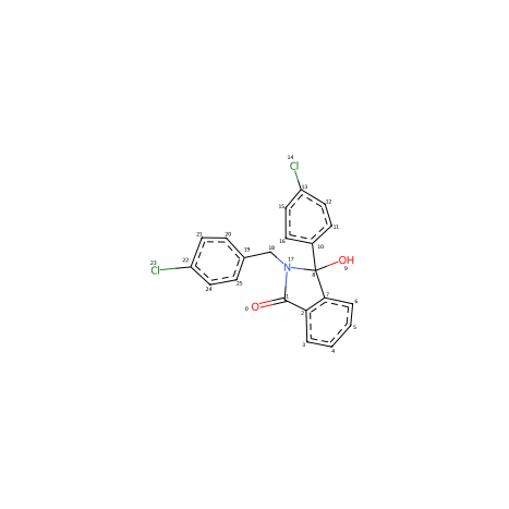 O=C1c2ccccc2C(O)(c2ccc(Cl)cc2)N1Cc1ccc(Cl)cc1